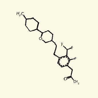 CC(=O)Cc1ccc(CCC2CCC(C3CCC(C)CC3)OC2)c(C(F)F)c1F